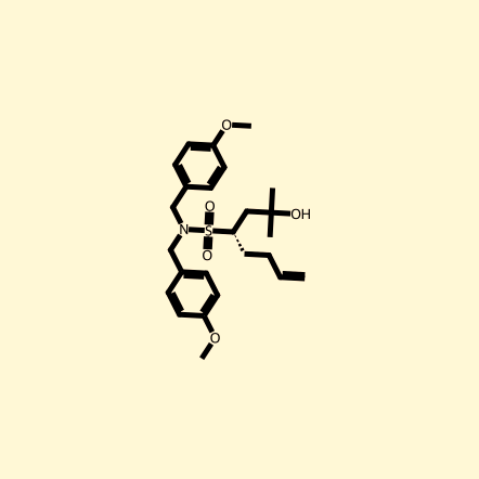 C=CCC[C@@H](CC(C)(C)O)S(=O)(=O)N(Cc1ccc(OC)cc1)Cc1ccc(OC)cc1